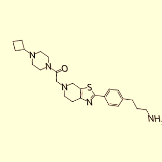 NCCCc1ccc(-c2nc3c(s2)CN(CC(=O)N2CCN(C4CCC4)CC2)CC3)cc1